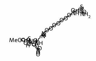 COc1ccc(C2=CSC(NC(=O)c3ccc(OCC(=O)N4CCOCC4)c(NC(=O)CCCCc4cn(CCOCCOCCOCCOCCOCCOCCOCCNC(=O)CCCC[C@@H]5SCCC5NC(N)=O)nn4)c3)N2)c(Cl)c1